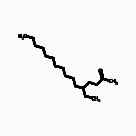 CCCCCCCCCCCC(CC)CCC(C)=O